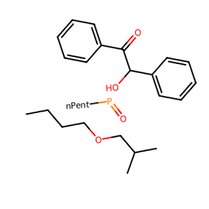 CCCCCP=O.CCCCOCC(C)C.O=C(c1ccccc1)C(O)c1ccccc1